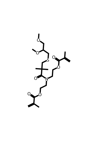 C=C(C)C(=O)OCCN(CCOC(=O)C(=C)C)C(=O)C(C)(C)CSCC(COC)OC